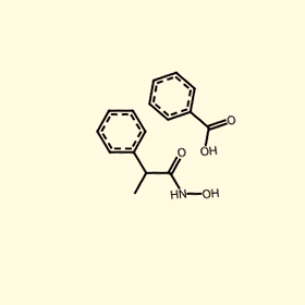 CC(C(=O)NO)c1ccccc1.O=C(O)c1ccccc1